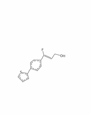 OCC=C(F)c1ccc(-c2cccs2)cc1